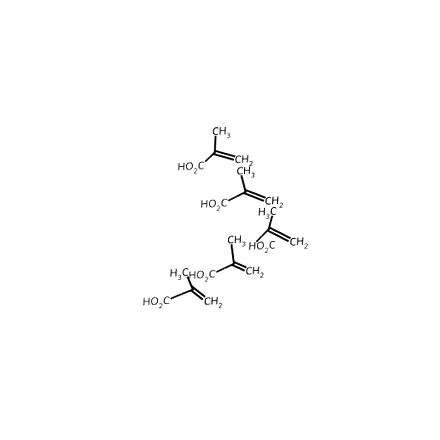 C=C(C)C(=O)O.C=C(C)C(=O)O.C=C(C)C(=O)O.C=C(C)C(=O)O.C=C(C)C(=O)O